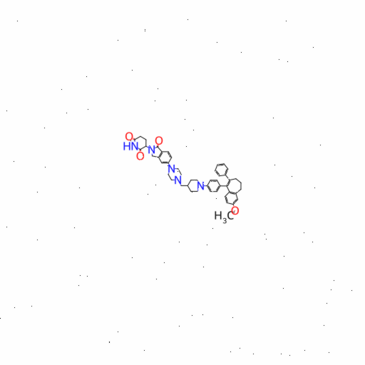 COc1ccc2c(c1)CCCC(c1ccccc1)=C2c1ccc(N2CCC(CN3CCN(c4ccc5c(c4)CN(C4CCC(=O)NC4=O)C5=O)CC3)CC2)cc1